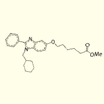 COC(=O)CCCCCOc1ccc2c(c1)nc(-c1ccccc1)n2CC1CCCCC1